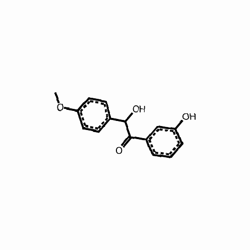 COc1ccc(C(O)C(=O)c2cccc(O)c2)cc1